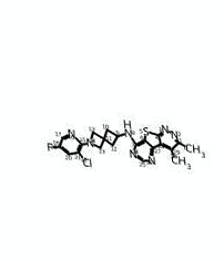 Cc1nnc2sc3c(NC4CC5(C4)CN(c4ncc(F)cc4Cl)C5)ncnc3c2c1C